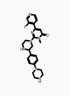 Cn1c(N2CCNC(c3ccc(N4CCNCC4)cc3)C2)nc(-c2ccncc2F)cc1=O